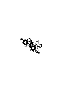 CCOc1ccc(CN2CCOc3cc(F)ccc32)c(F)c1NC=O